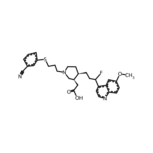 COc1ccc2nccc(C(F)CC[C@@H]3CCN(CCCSc4cccc(C#N)c4)C[C@@H]3CC(=O)O)c2c1